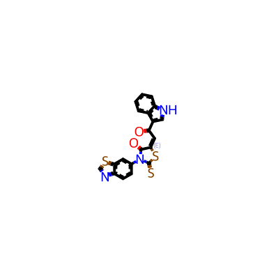 O=C(/C=C1/SC(=S)N(c2ccc3ncsc3c2)C1=O)c1c[nH]c2ccccc12